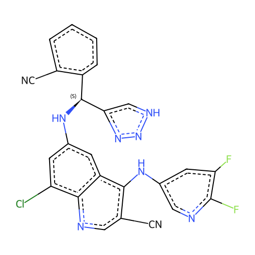 N#Cc1ccccc1[C@H](Nc1cc(Cl)c2ncc(C#N)c(Nc3cnc(F)c(F)c3)c2c1)c1c[nH]nn1